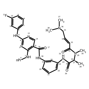 CCCNc1nc(Nc2cccc(F)c2)ncc1C(=O)Nc1cccc(NC(=O)[C@H](C)N(C)C(=O)C=CCN(C)C)c1